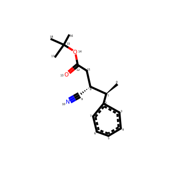 C[C@@H](c1ccccc1)[C@H](C#N)CC(=O)OC(C)(C)C